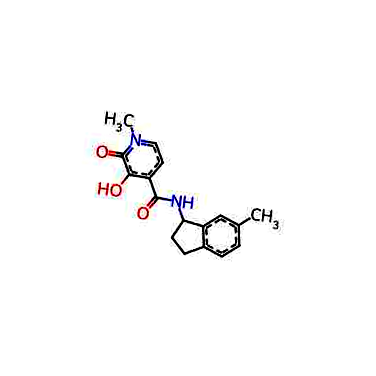 Cc1ccc2c(c1)C(NC(=O)c1ccn(C)c(=O)c1O)CC2